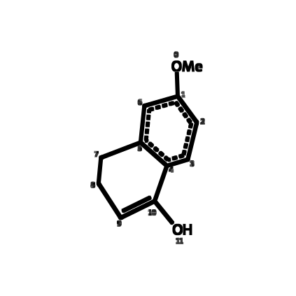 COc1ccc2c(c1)CCC=C2O